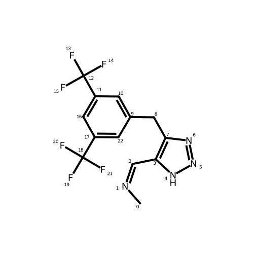 C/N=C\c1[nH]nnc1Cc1cc(C(F)(F)F)cc(C(F)(F)F)c1